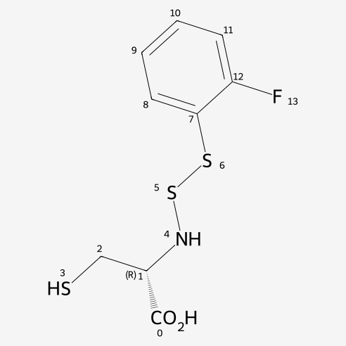 O=C(O)[C@H](CS)NSSc1ccccc1F